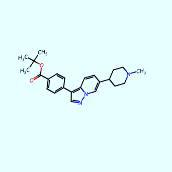 CN1CCC(c2ccc3c(-c4ccc(C(=O)OC(C)(C)C)cc4)cnn3c2)CC1